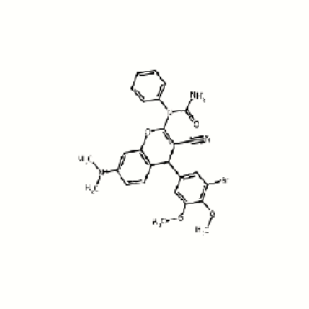 COc1cc(C2C(C#N)=C(N(C(N)=O)c3ccccc3)Oc3cc(N(C)C)ccc32)cc(Br)c1OC